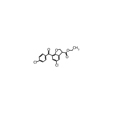 CCOC(=O)C1COc2c(C(=O)c3ccc(Cl)cc3)cc(Cl)cc21